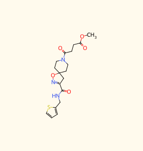 COC(=O)CCC(=O)N1CCC2(CC1)CC(C(=O)NCc1cccs1)=NO2